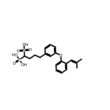 CC(C)=Cc1ccccc1Oc1cccc(CCCC(P(=O)(O)O)S(=O)(=O)O)c1